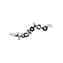 C=CC(=O)NC1CC2CCN(S(=O)(=O)c3ccc(C(=O)N4CCN(c5cccc(C)n5)CC4)cc3)CC2O1